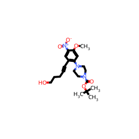 COc1cc(N2CCN(C(=O)OC(C)(C)C)CC2)c(C#CCCCO)cc1[N+](=O)[O-]